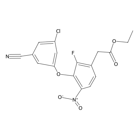 CCOC(=O)Cc1ccc([N+](=O)[O-])c(Oc2cc(Cl)cc(C#N)c2)c1F